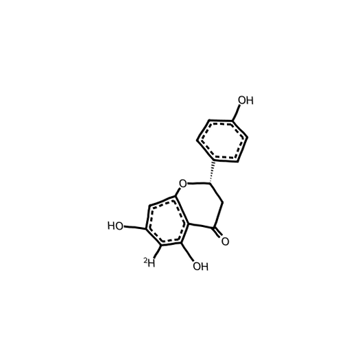 [2H]c1c(O)cc2c(c1O)C(=O)C[C@@H](c1ccc(O)cc1)O2